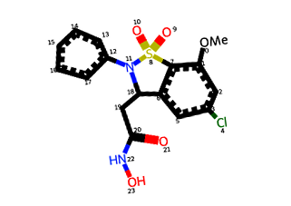 COc1cc(Cl)cc2c1S(=O)(=O)N(c1ccccc1)C2CC(=O)NO